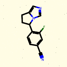 N#Cc1ccc(C2CCc3cncn32)c(F)c1